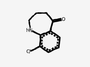 O=C1CCCNc2c(Cl)cccc21